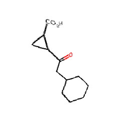 O=C(O)C1CC1C(=O)CC1CCCCC1